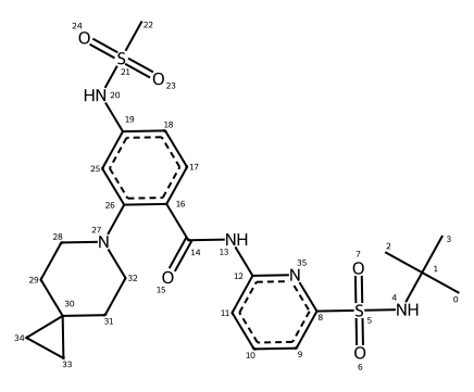 CC(C)(C)NS(=O)(=O)c1cccc(NC(=O)c2ccc(NS(C)(=O)=O)cc2N2CCC3(CC2)CC3)n1